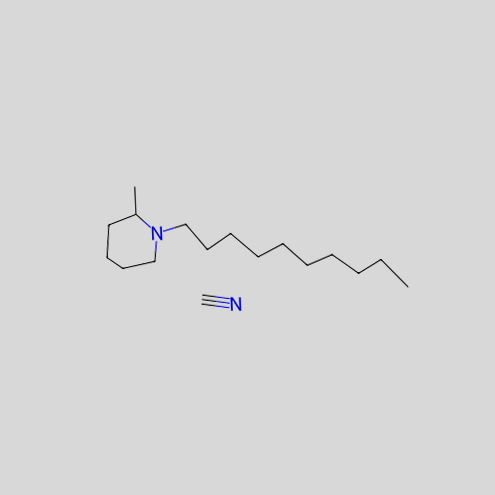 C#N.CCCCCCCCCCN1CCCCC1C